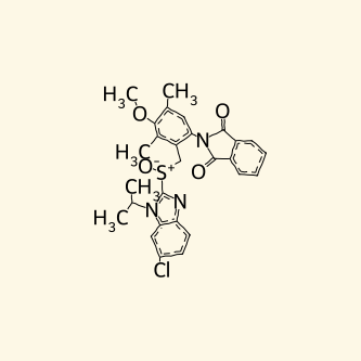 COc1c(C)cc(N2C(=O)c3ccccc3C2=O)c(C[S+]([O-])c2nc3ccc(Cl)cc3n2C(C)C)c1C